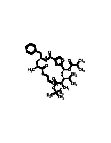 C=CCOC(=O)[C@@H](C)C[C@H](Cc1ccccc1)NC(=O)c1csc([C@@H](C[C@H](C(C)C)N(C)C(=O)OC(C)(C)C)OC(=O)C(C)C)n1